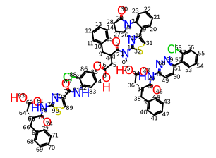 CN(C(=O)[C@@H](CC(=O)O)Cc1ccccc1)c1nc(-c2ccccc2N2CCCC2=O)cs1.O=C(O)C[C@@H](Cc1ccccc1)C(=O)Nc1ccc(-c2ccccc2Cl)nn1.O=C(O)C[C@@H](Cc1ccccc1)C(=O)Nc1nc(C(=O)Nc2ccccc2Cl)cs1